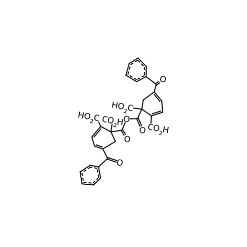 O=C(O)C1=CC=C(C(=O)c2ccccc2)CC1(C(=O)O)C(=O)OC(=O)C1(C(=O)O)CC(C(=O)c2ccccc2)=CC=C1C(=O)O